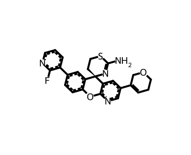 NC1=N[C@@]2(CCS1)c1cc(-c3cccnc3F)ccc1Oc1ncc(C3=CCCOC3)cc12